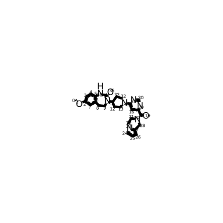 COc1ccc2c(c1)CCN(C1CCN(c3cc(C(=O)N4CCn5cccc5C4)ncn3)CC1)C(=O)N2